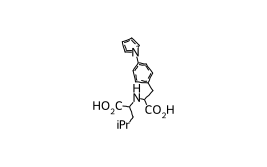 CC(C)CC(NC(Cc1ccc(-n2cccc2)cc1)C(=O)O)C(=O)O